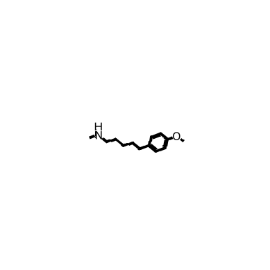 CNCCCCCc1ccc(OC)cc1